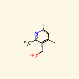 Cc1cc(C)c(CO)c(C(F)(F)F)n1